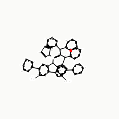 CC(C)(C)c1cc2c(cc1-c1ccccc1)[CH]([Zr](=[C](C(c1ccccc1)c1ccccc1)C(c1ccccc1)c1ccccc1)[CH]1C=CC=C1)c1cc(-c3ccccc3)c(C(C)(C)C)cc1-2